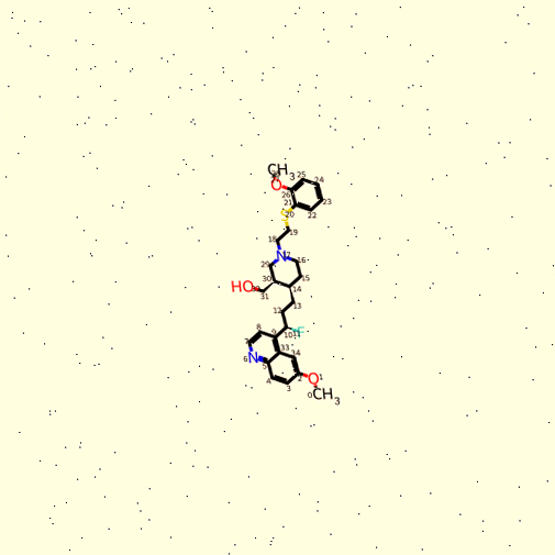 COc1ccc2nccc([C@H](F)CC[C@@H]3CCN(CCSc4ccccc4OC)C[C@@H]3CO)c2c1